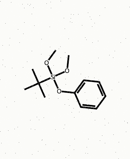 CO[Si](OC)(Oc1ccccc1)C(C)(C)C